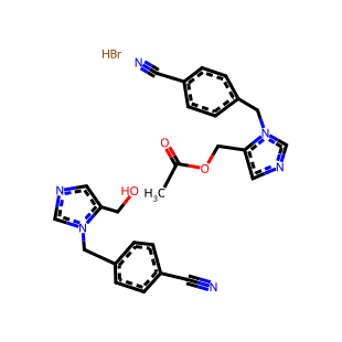 Br.CC(=O)OCc1cncn1Cc1ccc(C#N)cc1.N#Cc1ccc(Cn2cncc2CO)cc1